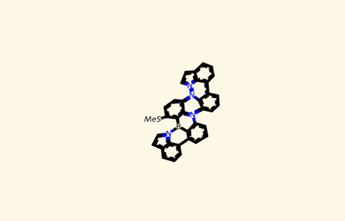 CSc1ccc2c3c1B1c4c(cccc4-n3c3cccc4c3-n2n2ccc3cccc4c32)-c2cccc3ccn1c23